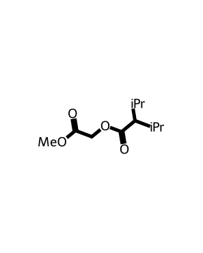 COC(=O)COC(=O)C(C(C)C)C(C)C